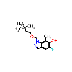 Cc1c(O)c(F)cc2cnn(COCC[Si](C)(C)C)c12